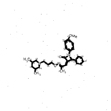 COc1ccc(N2C(=O)C(=CC(C)=NOCCCN3CC(C)CC(C)C3)C2c2ccccc2)cc1